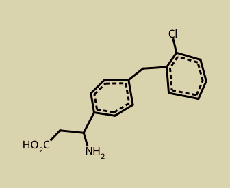 NC(CC(=O)O)c1ccc(Cc2ccccc2Cl)cc1